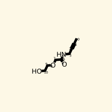 CC#CCNC(=O)COCCO